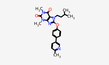 Cc1ccc(-c2ccc(Oc3nc4c(c(=O)n(C)c(=O)n4C)n3CCC(C)C)cc2)cn1